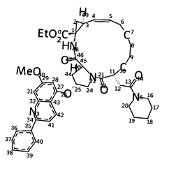 CCOC(=O)[C@@]12C[C@H]1/C=C\CCCCC[C@H](CC(=O)N1CCCCC1)C(=O)N1C[C@H](Oc3cc(OC)cc4nc(-c5ccccc5)ccc34)C[C@H]1C(=O)N2